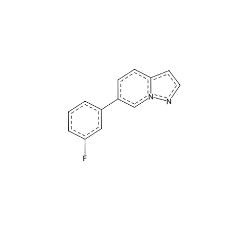 Fc1cccc(-c2ccc3ccnn3c2)c1